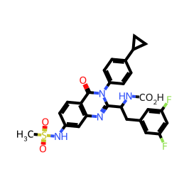 CS(=O)(=O)Nc1ccc2c(=O)n(-c3ccc(C4CC4)cc3)c(C(Cc3cc(F)cc(F)c3)NC(=O)O)nc2c1